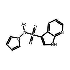 CC(=O)N(n1cccc1)S(=O)(=O)c1c[nH]c2ncccc12